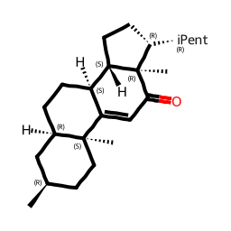 CCC[C@@H](C)[C@H]1CC[C@H]2[C@@H]3CC[C@@H]4C[C@H](C)CC[C@]4(C)C3=CC(=O)[C@]12C